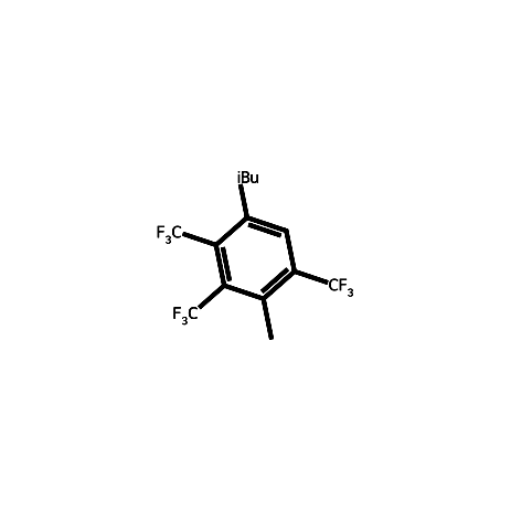 CCC(C)c1cc(C(F)(F)F)c(C)c(C(F)(F)F)c1C(F)(F)F